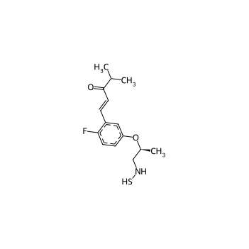 CC(C)C(=O)/C=C/c1cc(O[C@@H](C)CNS)ccc1F